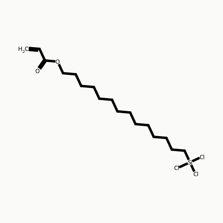 C=CC(=O)OCCCCCCCCCCCCCC[Si](Cl)(Cl)Cl